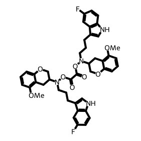 COc1cccc2c1CC(N(CCCc1c[nH]c3ccc(F)cc13)OC(=O)C(=O)ON(CCCc1c[nH]c3ccc(F)cc13)C1COc3cccc(OC)c3C1)CO2